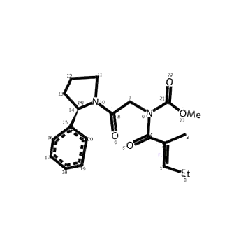 CC/C=C(\C)C(=O)N(CC(=O)N1CCC[C@@H]1c1ccccc1)C(=O)OC